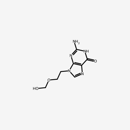 Nc1nc2c(ncn2CCOCO)c(=O)[nH]1